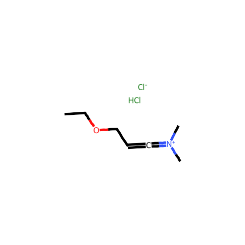 CCOCC=C=[N+](C)C.Cl.[Cl-]